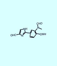 COc1ccc(-c2nc(C=O)c[nH]2)cc1N(C)C=O